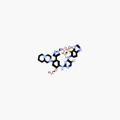 COc1cc(N2CCN3CCCCC3C2)c(-c2cnn(C)c2)cc1Nc1ncc(Cl)c(Nc2ccc3nccnc3c2P(C)(C)=O)n1